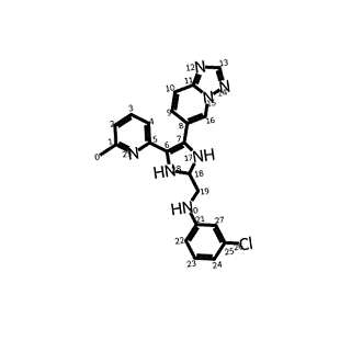 Cc1cccc(C2=C(c3ccc4ncnn4c3)NC(CNc3cccc(Cl)c3)N2)n1